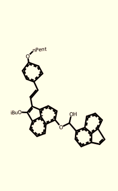 CCCCCOc1ccc(C=CC2=C(OCC(C)C)c3cccc4c(OC(O)c5ccc6c7c(cccc57)C=C6)ccc2c34)cc1